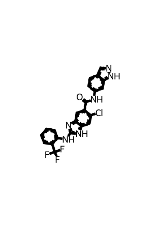 O=C(Nc1ccc2cn[nH]c2c1)c1cc2nc(Nc3ccccc3C(F)(F)F)[nH]c2cc1Cl